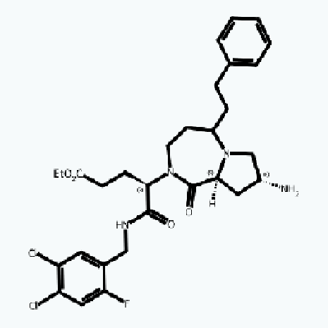 CCOC(=O)CC[C@H](C(=O)NCc1cc(Cl)c(Cl)cc1F)N1CCC(CCc2ccccc2)N2C[C@H](N)C[C@H]2C1=O